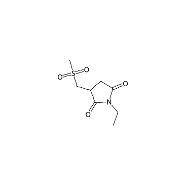 CCN1C(=O)CC(CS(C)(=O)=O)C1=O